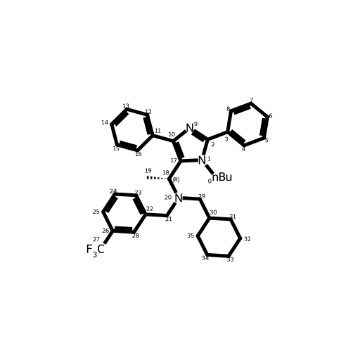 CCCCn1c(-c2ccccc2)nc(-c2ccccc2)c1[C@@H](C)N(Cc1cccc(C(F)(F)F)c1)CC1CCCCC1